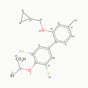 CCC(Oc1c(F)cc(-c2ccc(C)cc2OCC2CC2)cc1F)C(=O)O